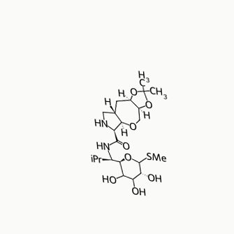 CSC1O[C@H]([C@H](NC(=O)[C@H]2NC[C@@H]3C[C@H]4OC(C)(C)O[C@H]4CO[C@H]32)C(C)C)C(O)C(O)[C@H]1O